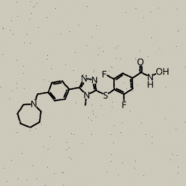 Cn1c(Sc2c(F)cc(C(=O)NO)cc2F)nnc1-c1ccc(CN2CCCCCC2)cc1